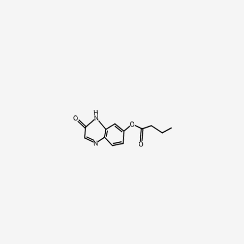 CCCC(=O)Oc1ccc2ncc(=O)[nH]c2c1